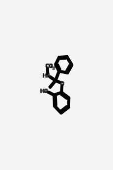 CC(NC(=O)O)(Oc1ccccc1O)c1ccccc1